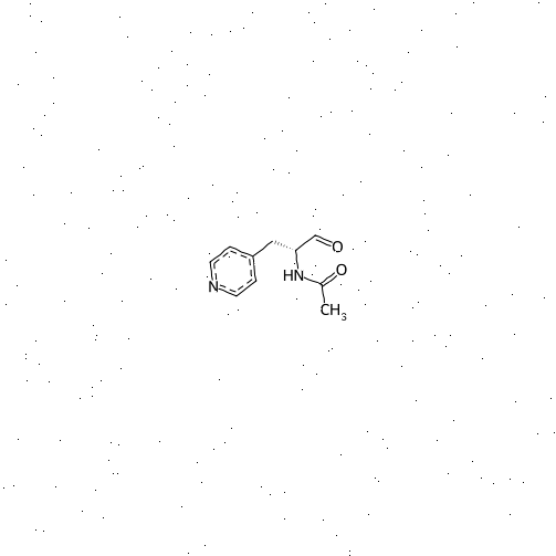 CC(=O)N[C@@H](C=O)Cc1ccncc1